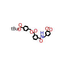 CC(C)(C)OC(=O)c1ccc(COC(=O)c2cccc(C(=O)NCc3ccc4c(c3)OCO4)c2)cc1